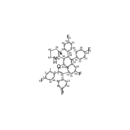 Fc1ccc(C2=C(c3ccc(F)cc3)c3cc(F)cc4c(-c5ccc(F)cc5)c(-c5ccc(F)cc5)c(C5=NCCCN5)c(c34)O2)cc1